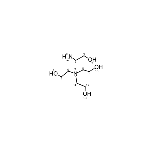 NCCO.OCCN(CCO)CCO